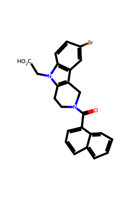 O=C(O)Cn1c2c(c3cc(Br)ccc31)CN(C(=O)c1cccc3ccccc13)CC2